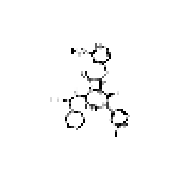 CCN(C(=O)[C@@H]1[C@@H](Cc2ccnc(N)c2)C(=O)N1C(=O)NC(C1CCCCC1)C(F)(F)F)c1ccnc(C)c1